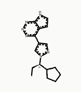 CC[C@H](C1CCCC1)n1cc(-c2nnnc3[nH]ccc23)cn1